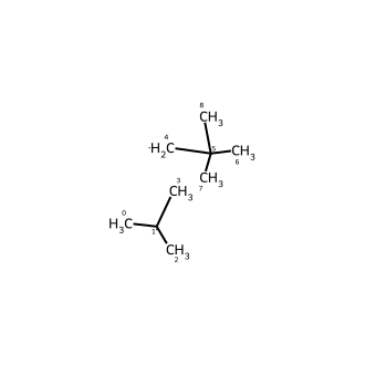 C[C](C)C.[CH2]C(C)(C)C